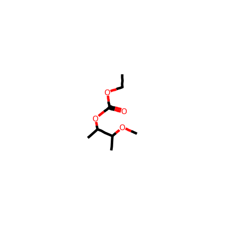 CCOC(=O)OC(C)C(C)OC